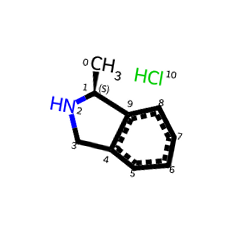 C[C@@H]1NCc2ccccc21.Cl